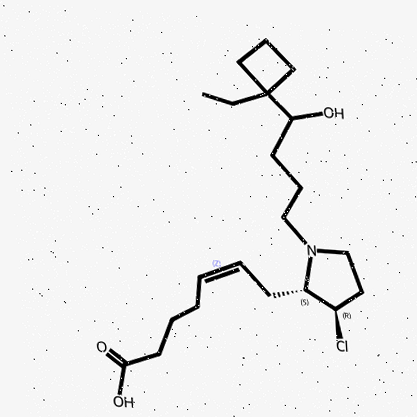 CCC1(C(O)CCCN2CC[C@@H](Cl)[C@@H]2C/C=C\CCCC(=O)O)CCC1